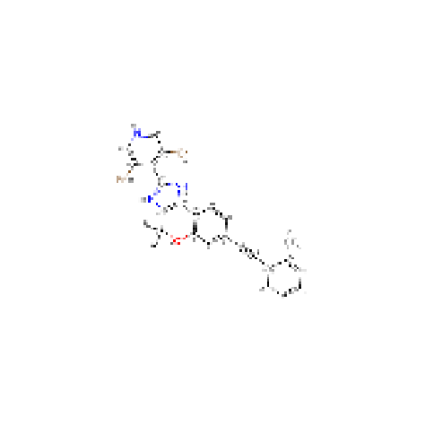 CC1(C)Oc2cc(C#Cc3ccccc3C(F)(F)F)ccc2-c2[nH]c(-c3c(Br)cncc3Br)nc21